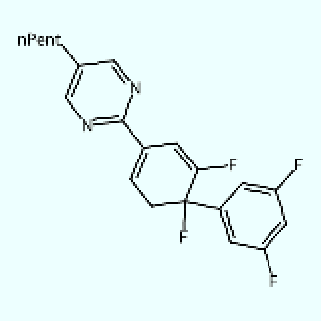 CCCCCc1cnc(C2=CCC(F)(c3cc(F)cc(F)c3)C(F)=C2)nc1